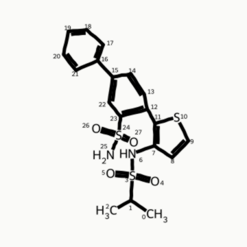 CC(C)S(=O)(=O)Nc1ccsc1-c1ccc(-c2ccccc2)cc1S(N)(=O)=O